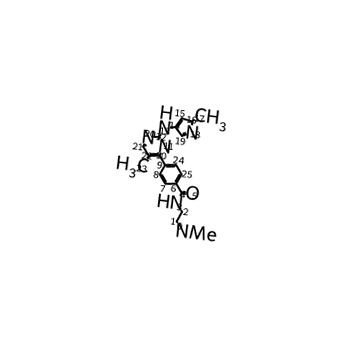 CNCCNC(=O)c1ccc(-c2nc(NC3=CC(C)N=C3)ncc2C)cc1